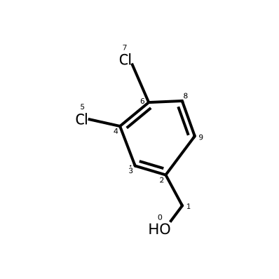 OCc1[c]c(Cl)c(Cl)cc1